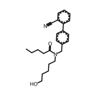 CCCCC(=O)N(CCCCCO)Cc1ccc(-c2ccccc2C#N)cc1